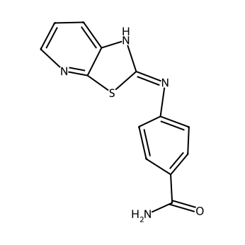 NC(=O)c1ccc(N=c2[nH]c3cccnc3s2)cc1